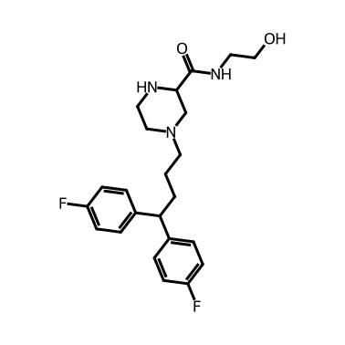 O=C(NCCO)C1CN(CCCC(c2ccc(F)cc2)c2ccc(F)cc2)CCN1